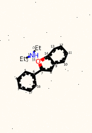 CCNCC.c1ccc(-c2cc3ccccc3o2)cc1